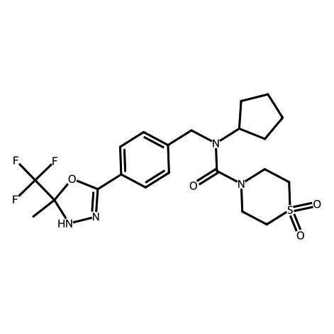 CC1(C(F)(F)F)NN=C(c2ccc(CN(C(=O)N3CCS(=O)(=O)CC3)C3CCCC3)cc2)O1